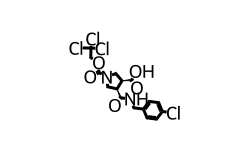 O=C(NCc1ccc(Cl)cc1)[C@H]1CN(C(=O)OCC(Cl)(Cl)Cl)C[C@H]1C(=O)O